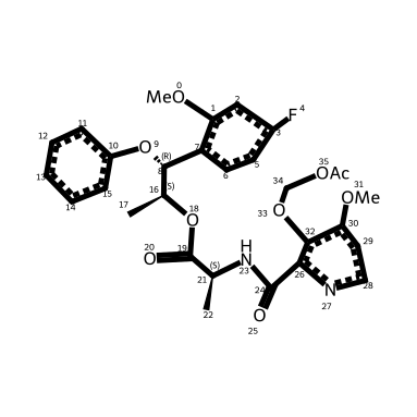 COc1cc(F)ccc1[C@@H](Oc1ccccc1)[C@H](C)OC(=O)[C@H](C)NC(=O)c1nccc(OC)c1OCOC(C)=O